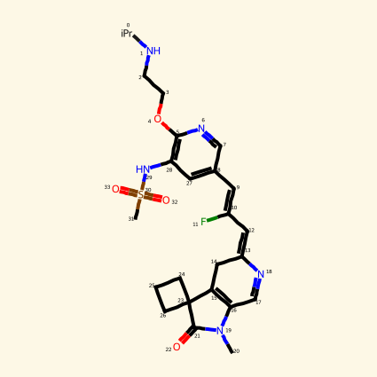 CC(C)NCCOc1ncc(/C=C(F)/C=C2\CC3=C(C=N2)N(C)C(=O)C32CCC2)cc1NS(C)(=O)=O